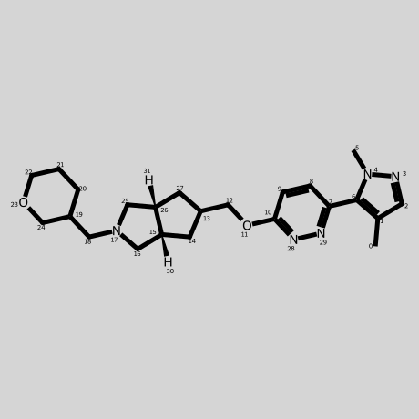 Cc1cnn(C)c1-c1ccc(OCC2C[C@@H]3CN(CC4CCCOC4)C[C@@H]3C2)nn1